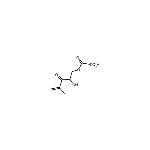 C=C(C)C(=O)C(O)COC(=O)C(=O)O